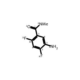 CNC(=O)c1cc(N)c(F)cc1F